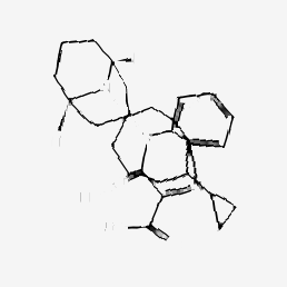 C[C@@H]1CC(C2CC2)C[C@H](C)C[C@H](N2[C@@H]3CCC[C@H]2C[C@@H](n2c(=O)c(C(=O)O)nc4ccccc42)C3)C1